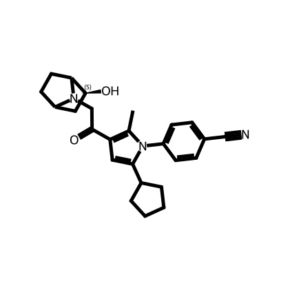 Cc1c(C(=O)CN2C3CCC2[C@@H](O)C3)cc(C2CCCC2)n1-c1ccc(C#N)cc1